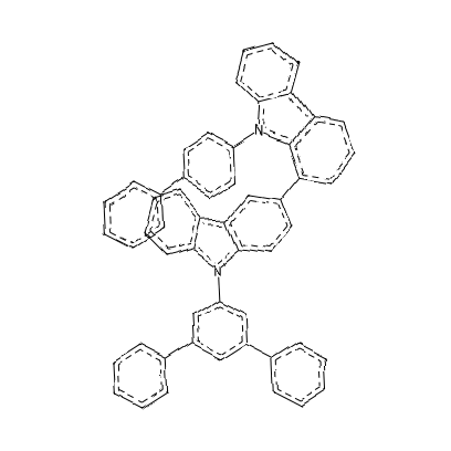 c1ccc(-c2ccc(-n3c4ccccc4c4cccc(-c5ccc6c(c5)c5ccccc5n6-c5cc(-c6ccccc6)cc(-c6ccccc6)c5)c43)cc2)cc1